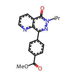 COC(=O)c1ccc(-c2nn(C(C)C)c(=O)c3cccnc23)cc1